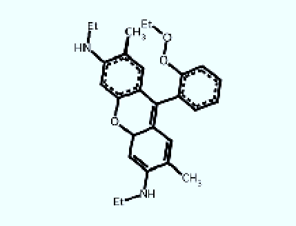 CCNC1=CC2Oc3cc(NCC)c(C)cc3C(c3ccccc3OOCC)=C2C=C1C